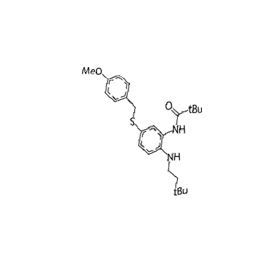 COc1ccc(CSc2ccc(NCCC(C)(C)C)c(NC(=O)C(C)(C)C)c2)cc1